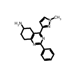 Cn1ccc(-c2nc(-c3ccccc3)nc3c2CC(N)CC3)n1